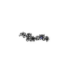 COC[C@H](C)OC(=O)CCN(C(=O)c1ccc2c(c1)nc(CNc1ccc(/C(N)=N/C(=O)OCCC(F)(F)F)cc1)n2C)c1ccccn1